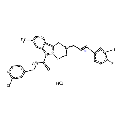 Cl.O=C(NCc1ccnc(Cl)c1)n1c2c(c3ccc(C(F)(F)F)cc31)CN(C/C=C/c1ccc(F)c(Cl)c1)CC2